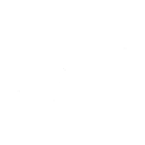 COc1ccc(C2CCN(S(=O)(=O)c3ccc(C)cc3)CC2)cc1.Cc1ccc(S(=O)(=O)Cl)cc1